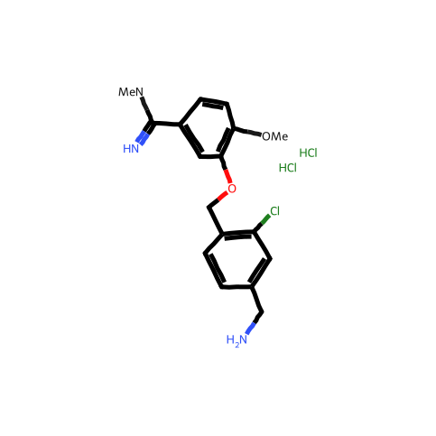 CNC(=N)c1ccc(OC)c(OCc2ccc(CN)cc2Cl)c1.Cl.Cl